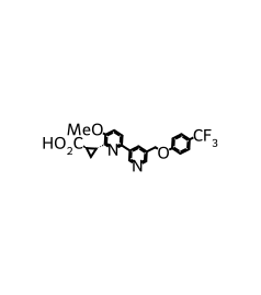 COc1ccc(-c2cncc(COc3ccc(C(F)(F)F)cc3)c2)nc1[C@@H]1C[C@H]1C(=O)O